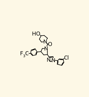 O=C(N1CCC(O)CC1)N1CC(c2ccc(C(F)(F)F)cc2)CC(c2cn(-c3cccc(Cl)c3)cn2)C1